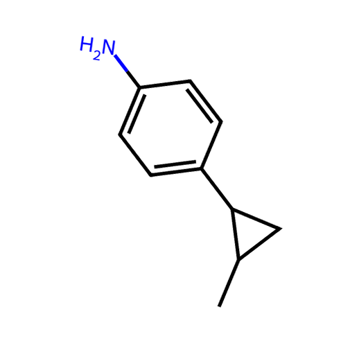 CC1CC1c1ccc(N)cc1